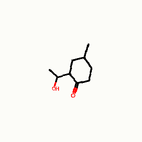 CC1CCC(=O)C(C(C)O)C1